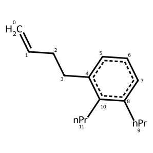 C=CCCc1cccc(CCC)c1CCC